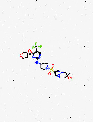 CC(C)(O)Cn1cc(S(=O)(=O)N2CCC(Nc3ncc(C(F)(F)F)c(O[C@H]4CCOC4)n3)CC2)cn1